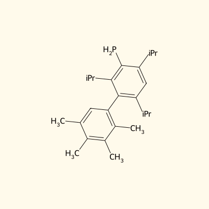 Cc1cc(-c2c(C(C)C)cc(C(C)C)c(P)c2C(C)C)c(C)c(C)c1C